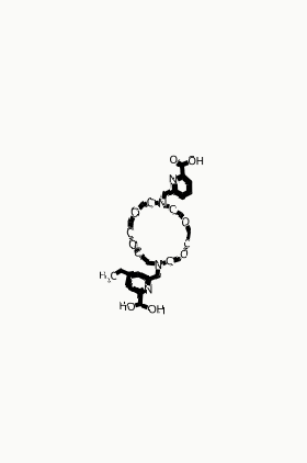 CCc1cc(CN2CCOCCOCCN(Cc3cccc(C(=O)O)n3)CCOCCOCC2)nc(C(O)O)c1